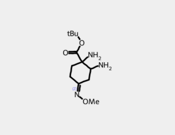 CO/N=C1/CCC(N)(C(=O)OC(C)(C)C)C(N)C1